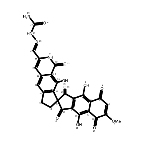 COC1=CC(=O)c2c(O)c3c(c(O)c2C1=O)C(=O)C1(CCc2cc4cc(C=NNC(N)=O)[nH]c(=O)c4c(O)c21)C3=O